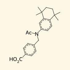 CC(=O)N(Cc1ccc(C(=O)O)cc1)c1ccc2c(c1)C(C)(C)CCC2(C)C